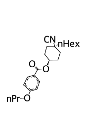 CCCCCC[C@]1(C#N)CC[C@@H](OC(=O)c2ccc(OCCC)cc2)CC1